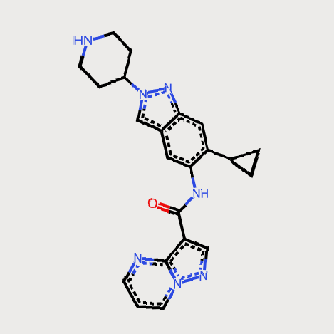 O=C(Nc1cc2cn(C3CCNCC3)nc2cc1C1CC1)c1cnn2cccnc12